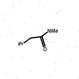 [CH2]NC(=O)CC(C)C